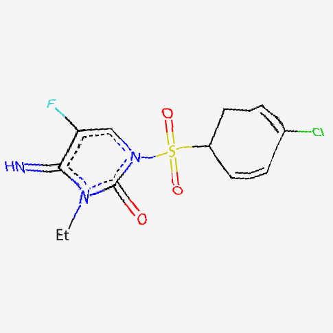 CCn1c(=N)c(F)cn(S(=O)(=O)C2C=CC(Cl)=CC2)c1=O